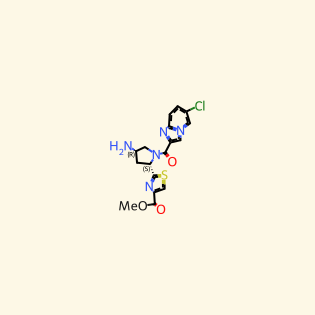 COC(=O)c1csc([C@@H]2C[C@@H](N)CN2C(=O)c2cn3cc(Cl)ccc3n2)n1